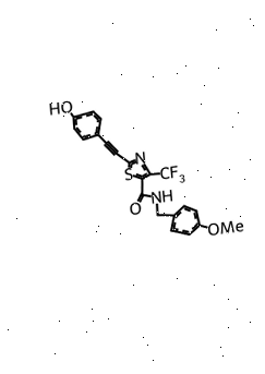 COc1ccc(CNC(=O)c2sc(C#Cc3ccc(O)cc3)nc2C(F)(F)F)cc1